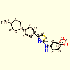 CCCC1CCC(c2ccc(-c3csc(Nc4ccc5c(c4)OCO5)n3)cc2)CC1